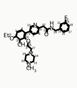 CCOC1C=CC(c2ccc(CC(=O)NCc3cccc(F)c3)nc2)=C(OCCN2CCN(C)CC2)C1C